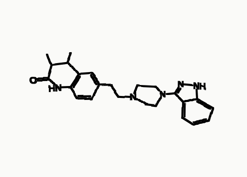 CC1C(=O)Nc2ccc(CCN3CCN(c4n[nH]c5ccccc45)CC3)cc2C1C